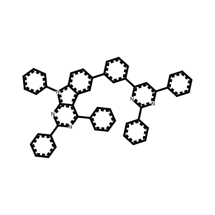 c1ccc(-c2cc(-c3cccc(-c4ccc5c(c4)c4c(-c6ccccc6)nc(-c6ccccc6)nc4n5-c4ccccc4)c3)nc(-c3ccccc3)n2)cc1